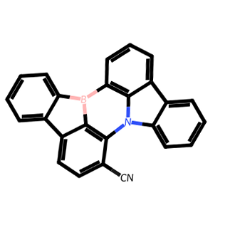 N#Cc1ccc2c3c1-n1c4ccccc4c4cccc(c41)B3c1ccccc1-2